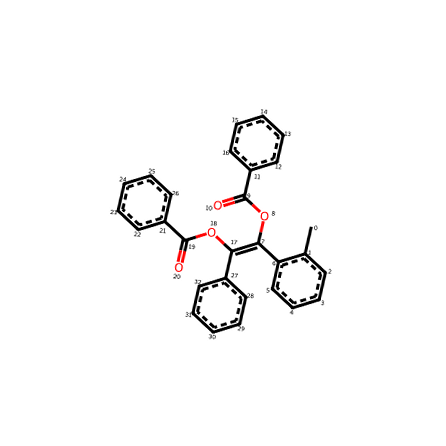 Cc1ccccc1C(OC(=O)c1ccccc1)=C(OC(=O)c1ccccc1)c1ccccc1